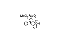 COCCC(C)C(C)(O)C(Cc1ccc(OC)cc1)N(Cc1ccccc1)Cc1ccccc1